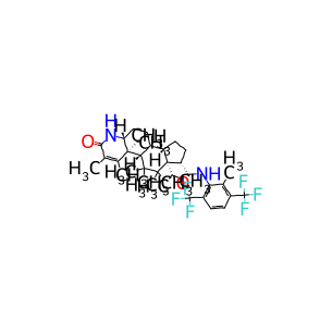 CC1=C(C)[C@]2(C(C)C)[C@@H]3[C@@H](CC[C@H]2NC1=O)[C@@H]1CC[C@H](C(=O)Nc2c(C(F)(F)F)ccc(C(F)(F)F)c2C)[C@@]1(C(C)C)C(C)(C)C3(C)C